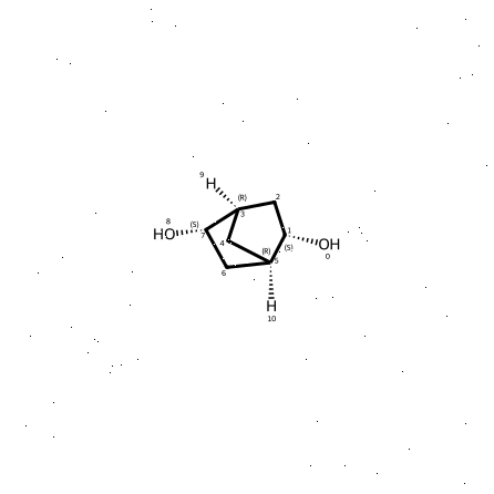 O[C@H]1C[C@H]2C[C@@H]1C[C@@H]2O